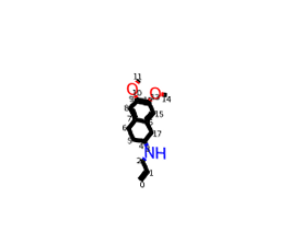 C=CCNC1CCc2cc(OC)c(OC)cc2C1